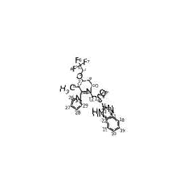 CC1C(OCC(F)(F)F)CCN(C[S+]([O-])c2nc3ccccc3[nH]2)C1n1cccc1